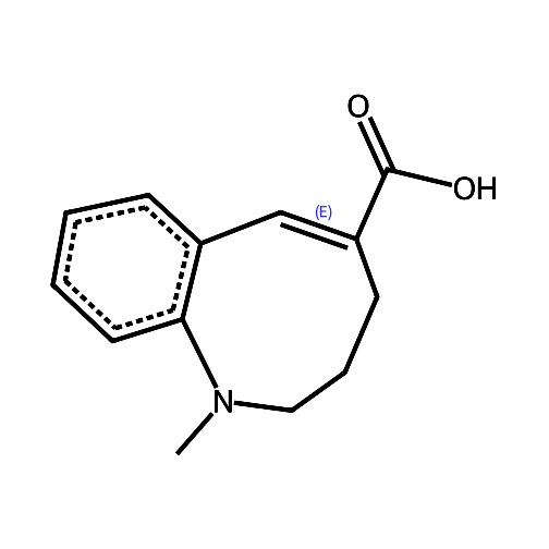 CN1CCC/C(C(=O)O)=C\c2ccccc21